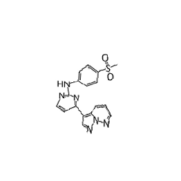 CS(=O)(=O)c1ccc(Nc2nccc(-c3cnn4ncccc34)n2)cc1